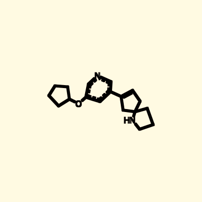 C1=C(c2cncc(OC3CCCC3)c2)CC2(C1)CCCN2